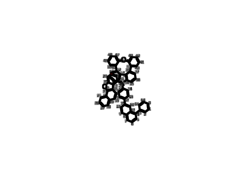 c1ccc(-c2cccc3ccc(-c4ccc(N(c5cccc6oc7c8ccccc8ccc7c56)c5cccc6c7ccccc7oc7ccccc7c7ccccc7c56)cc4)cc23)cc1